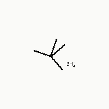 CCCCCCCCCCCCCCCC[N+](CCCCCCCCCCCCCCCC)(CCCCCCCCCCCCCCCC)CCCCCCCCCCCCCCCC.[BH4-]